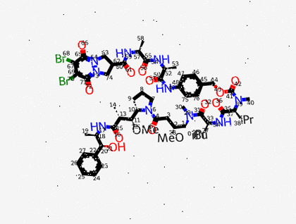 CC[C@H](C)[C@@H]([C@@H](CC(=O)N1CCC[C@H]1[C@H](OC)[C@@H](C)C(=O)N[C@H](C)[C@@H](O)c1ccccc1)OC)N(C)C(=O)[C@@H](NC(=O)[C@H](C(C)C)N(C)C(=O)OCc1ccc(NC(=O)[C@H](C)NC(=O)[C@H](C)NC(=O)C2Cn3c(=O)c(Br)c(Br)c(=O)n3C2)cc1)C(C)C